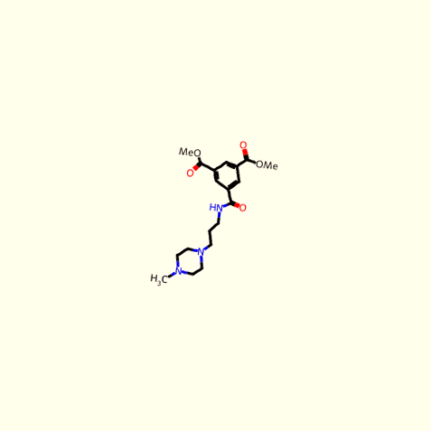 COC(=O)c1cc(C(=O)NCCCN2CCN(C)CC2)cc(C(=O)OC)c1